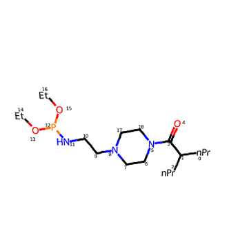 CCCC(CCC)C(=O)N1CCN(CCNP(OCC)OCC)CC1